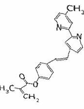 C=C(C)C(=O)Oc1ccc(C=Cc2ccnc(-c3cc(C)ccn3)c2)cc1